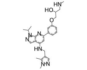 CNCC(O)COc1cccc(-c2cc(NCc3cnn(C)c3C)c3cnn(C(C)C)c3n2)c1